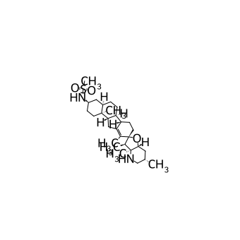 CC1=C2C[C@H]3[C@@H](CC[C@@H]4C[C@H](NS(C)(=O)=O)CC[C@@]43C)[C@@H]2CC[C@]12O[C@@H]1C[C@H](C)CN[C@@]1(C)[C@H]2C